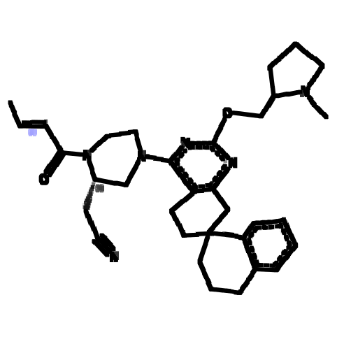 C/C=C/C(=O)N1CCN(c2nc(OCC3CCCN3C)nc3c2CCC2(CCCc4ccccc42)C3)C[C@@H]1CC#N